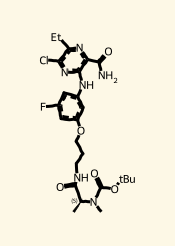 CCc1nc(C(N)=O)c(Nc2cc(F)cc(OCCCNC(=O)[C@H](C)N(C)C(=O)OC(C)(C)C)c2)nc1Cl